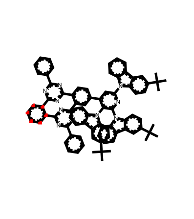 CC(C)(C)c1ccc2c(c1)c1ccccc1n2-c1cc(-c2ccc(-c3nc(-c4ccccc4)nc(-c4ccccc4)n3)c(-c3nc(-c4ccccc4)nc(-c4ccccc4)n3)c2)c(-n2c3ccccc3c3cc(C(C)(C)C)ccc32)c(-n2c3ccccc3c3cc(C(C)(C)C)ccc32)n1